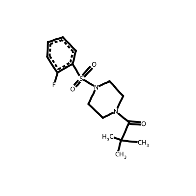 CC(C)(C)C(=O)N1CCN(S(=O)(=O)c2ccccc2F)CC1